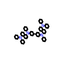 c1ccc(N(c2ccccc2)c2cccc3c(N(c4ccccc4)c4ccc(-c5ccc(N(c6ccccc6)c6cccc7c(N(c8ccccc8)c8ccccc8)cccc67)cc5)cc4)cccc23)cc1